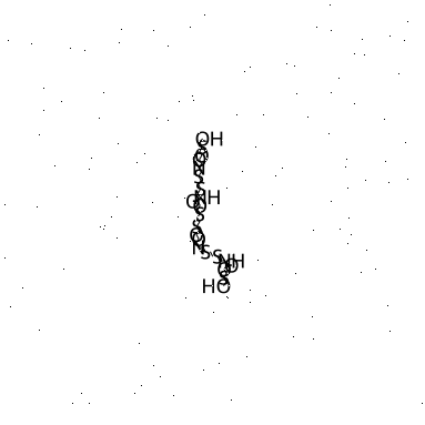 O=C(NCSCCSC/N=C\OOCSCCSCOC(=O)NCSCCSC/N=C/OOCSCO)OCSCO